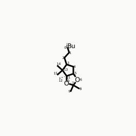 CCC(C)CCC1CC2OC(C)(C)O[C@@]2(C)C1(C)C